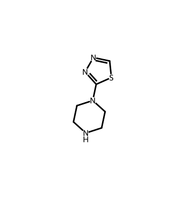 c1nnc(N2CCNCC2)s1